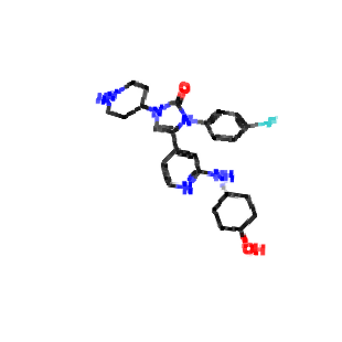 O=c1n(C2CCNCC2)cc(-c2ccnc(N[C@H]3CC[C@H](O)CC3)c2)n1-c1ccc(F)cc1